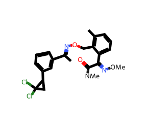 CNC(=O)/C(=N/OC)c1cccc(C)c1CO/N=C(\C)c1cccc(C2CC2(Cl)Cl)c1